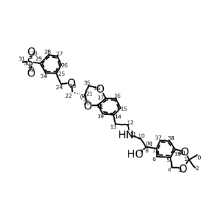 CC1(C)OCc2cc([C@@H](O)CNCCc3ccc4c(c3)O[C@H](COCc3cccc(S(C)(=O)=O)c3)CO4)ccc2O1